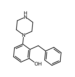 Oc1cccc(N2CCNCC2)c1Cc1ccccc1